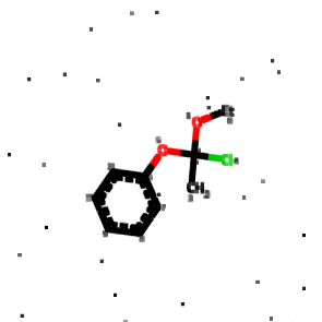 CCOC(C)(Cl)Oc1ccccc1